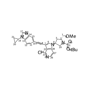 COC[C@H]1C[C@H](n2cc(C#Cc3ccc4c(c3)ncn4C3CC3)c3c(Cl)nccc32)CN1C(=O)OC(C)(C)C